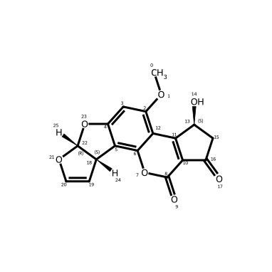 COc1cc2c(c3oc(=O)c4c(c13)[C@@H](O)CC4=O)[C@@H]1C=CO[C@@H]1O2